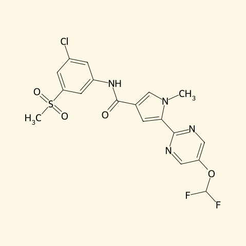 Cn1cc(C(=O)Nc2cc(Cl)cc(S(C)(=O)=O)c2)cc1-c1ncc(OC(F)F)cn1